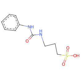 O=C(NCCCS(=O)(=O)O)Nc1ccccc1